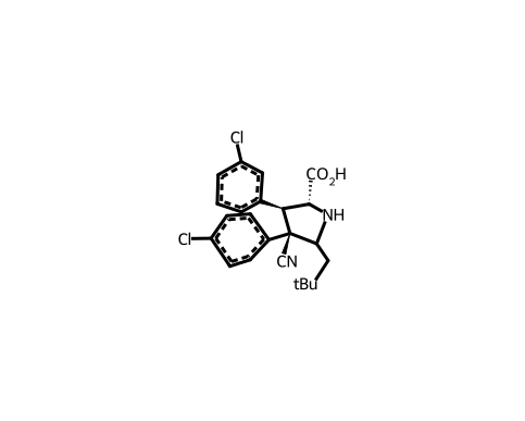 CC(C)(C)CC1N[C@@H](C(=O)O)[C@H](c2cccc(Cl)c2)[C@@]1(C#N)c1ccc(Cl)cc1